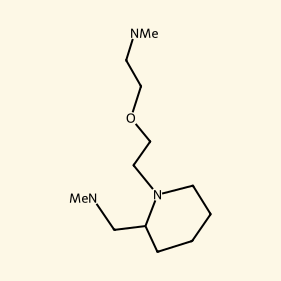 CNCCOCCN1CCCCC1CNC